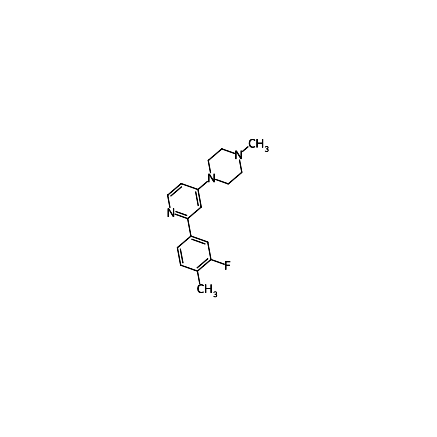 Cc1ccc(-c2cc(N3CCN(C)CC3)ccn2)cc1F